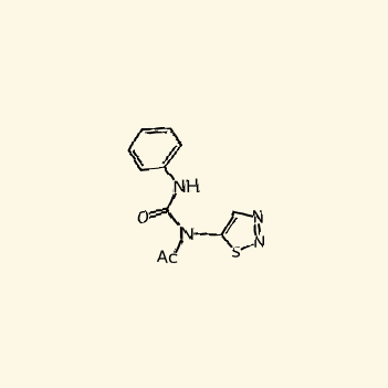 CC(=O)N(C(=O)Nc1ccccc1)c1cnns1